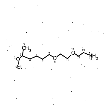 CCOC(C)CCCCOCCOCCN